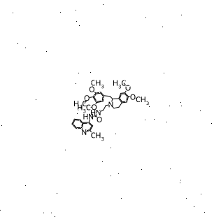 COc1cc2c(cc1OC)C(Cc1cc(OC)c(OC)c(OC)c1)N(CCNC(=O)Nc1cc(C)nc3ccccc13)CC2